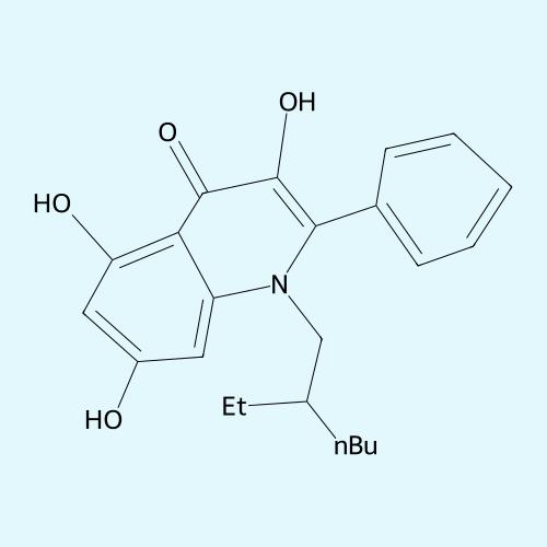 CCCCC(CC)Cn1c(-c2ccccc2)c(O)c(=O)c2c(O)cc(O)cc21